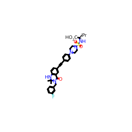 CC(C)[C@@H](NS(=O)(=O)N1CCN(c2ccc(C#Cc3ccc4c(c3)C(=O)N(Cc3cccc(F)c3)C(C)(C)N4)cc2)CC1)C(=O)O